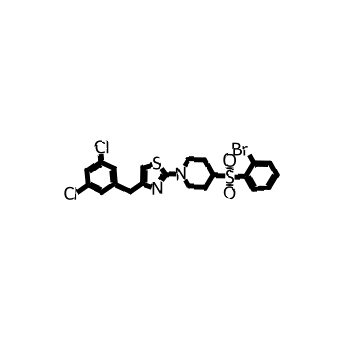 O=S(=O)(c1ccccc1Br)C1CCN(c2nc(Cc3cc(Cl)cc(Cl)c3)cs2)CC1